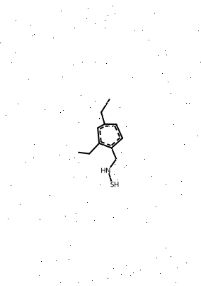 CCc1ccc(CNS)c(CC)c1